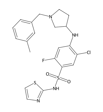 Cc1cccc(CN2CCC(Nc3cc(F)c(S(=O)(=O)Nc4nccs4)cc3Cl)C2)c1